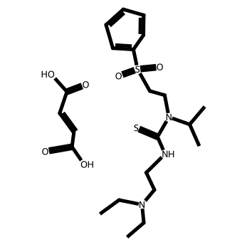 CCN(CC)CCNC(=S)N(CCS(=O)(=O)c1ccccc1)C(C)C.O=C(O)C=CC(=O)O